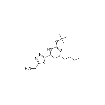 CCCCOCC(NC(=O)OC(C)(C)C)c1nnc(CN)s1